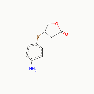 Nc1ccc(SC2COC(=O)C2)cc1